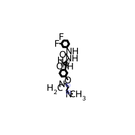 C=N/C(=C\C=N/C)Oc1ccc2c(c1)[C@H]1[C@H](NC(=O)Nc3ccc(F)c(F)c3)[C@H]1O2